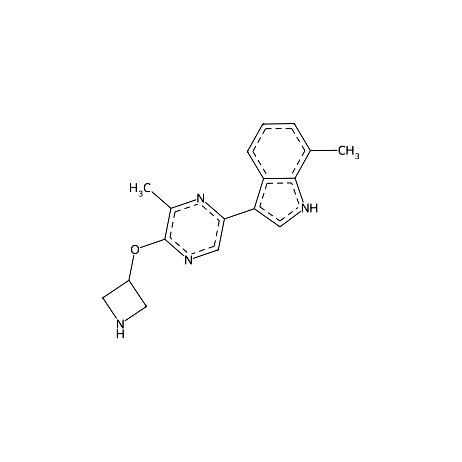 Cc1nc(-c2c[nH]c3c(C)cccc23)cnc1OC1CNC1